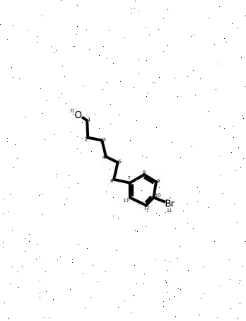 [O]CCCCCCc1ccc(Br)cc1